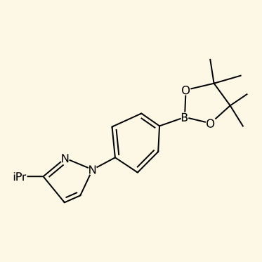 CC(C)c1ccn(-c2ccc(B3OC(C)(C)C(C)(C)O3)cc2)n1